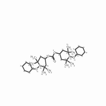 CC1(C)CC(OC(=O)OC2CC(C)(C)N(OC3CCCCC3)C(C)(C)C2)CC(C)(C)N1OC1CCCCC1